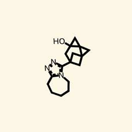 OC12CC3(c4nnc5n4CCCCC5)CC4(C3)CC14C2